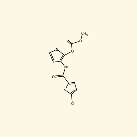 COC(=O)Oc1sccc1NC(=O)c1ccc(Cl)s1